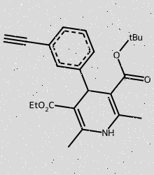 C#Cc1cccc(C2C(C(=O)OCC)=C(C)NC(C)=C2C(=O)OC(C)(C)C)c1